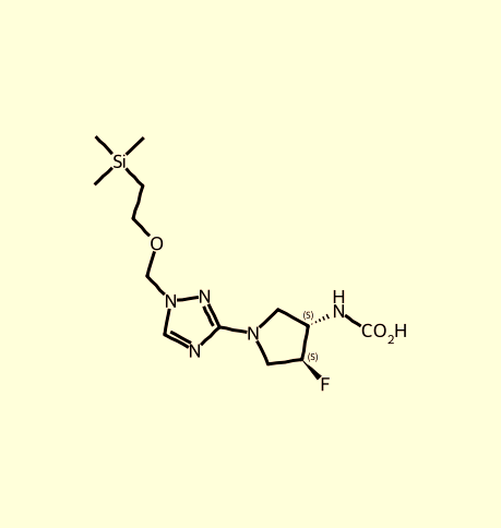 C[Si](C)(C)CCOCn1cnc(N2C[C@H](NC(=O)O)[C@@H](F)C2)n1